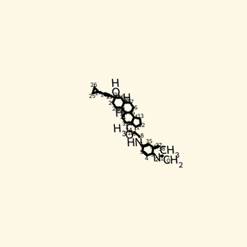 C=C/N=C1/C=CC(NCC(=O)[C@H]2CCC3C4CC[C@@H]5C[C@@](O)(C#CC6CC6)CC[C@@H]5C4CC[C@@]32C)=C/C1=C/C